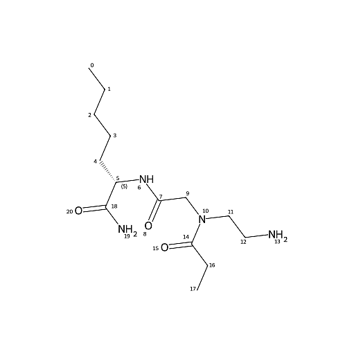 CCCCC[C@H](NC(=O)CN(CCN)C(=O)CC)C(N)=O